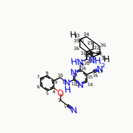 N#CCOc1ccccc1CNc1ncc(C#N)c(NC[C@]23CC4C[C@H](C2)[C@@H](N)[C@@H](C4)C3)n1